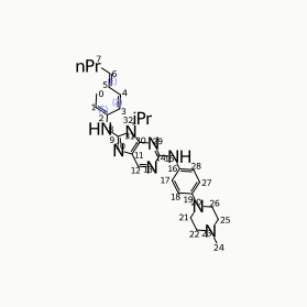 C\C=C(/C=C\C=C\CCC)Nc1nc2cnc(Nc3ccc(N4CCN(C)CC4)cc3)nc2n1C(C)C